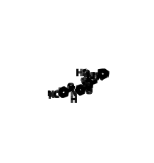 N#Cc1ccc(C(=O)Nc2ccc(S(=O)(=O)CC(COc3ccccc3)C(=O)NO)cc2)cc1